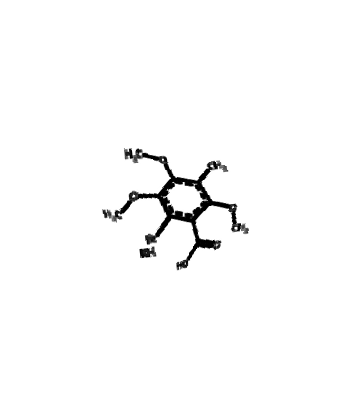 COc1c(C)c(OC)c(C(=O)O)c(Br)c1OC.[KH]